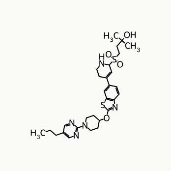 CCCc1cnc(N2CCC(Oc3nc4ccc(C5=CC(S(=O)(=O)CCC(C)(C)O)NCC5)cc4s3)CC2)nc1